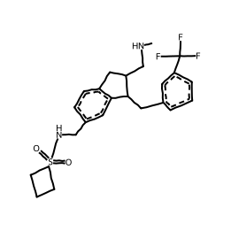 CNCC1Cc2ccc(CNS(=O)(=O)C3CCC3)cc2C1Cc1cccc(C(F)(F)F)c1